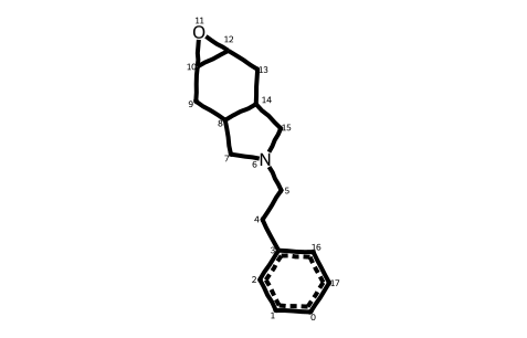 c1ccc(CCN2CC3CC4OC4CC3C2)cc1